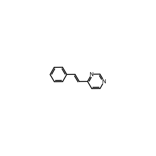 C(=C\c1ccncn1)/c1ccccc1